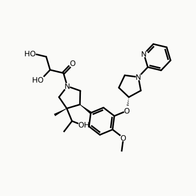 COc1ccc([C@@H]2CN(C(=O)C(O)CO)C[C@@]2(C)C(C)O)cc1O[C@@H]1CCN(c2ccccn2)C1